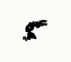 CCCC(CCC)NC(=O)c1csc2ccc(-c3cnn(C)c3)cc12